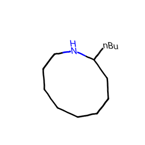 CCCCC1CCCCCCCCN1